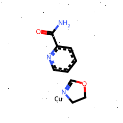 C1=NCCO1.NC(=O)c1ccccn1.[Cu]